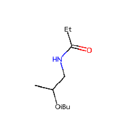 CCC(=O)NCC(C)OCC(C)C